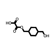 O=C(O)C(=O)OCC1CCC(CO)CC1